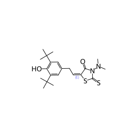 CN(C)N1C(=O)/C(=C\Cc2cc(C(C)(C)C)c(O)c(C(C)(C)C)c2)SC1=S